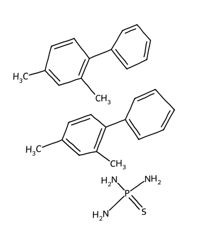 Cc1ccc(-c2ccccc2)c(C)c1.Cc1ccc(-c2ccccc2)c(C)c1.NP(N)(N)=S